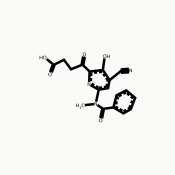 CN(C(=O)c1ccccc1)c1cc(C#N)c(O)c(C(=O)CCC(=O)O)n1